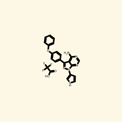 Nc1ncnc2c1c(-c1ccc(Oc3ccccc3)cc1)nn2-c1cc[nH]c1.O=C(O)C(F)(F)F